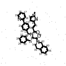 Cn1ccc(C=CC(=O)N(Cc2ccc(-c3ccccn3)cc2)[C@@H](Cc2ccccc2)C(=O)N2CCc3ccccc3C2)n1